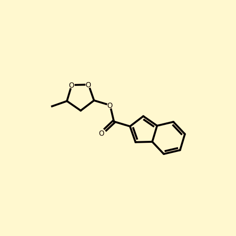 CC1CC(OC(=O)C2=CC3C=CC=CC3=C2)OO1